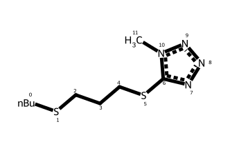 CCCCSCCCSc1nnnn1C